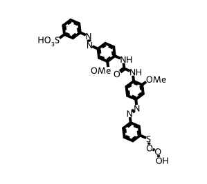 COc1cc(/N=N/c2cccc(SOOO)c2)ccc1NC(=O)Nc1ccc(/N=N/c2cccc(S(=O)(=O)O)c2)cc1OC